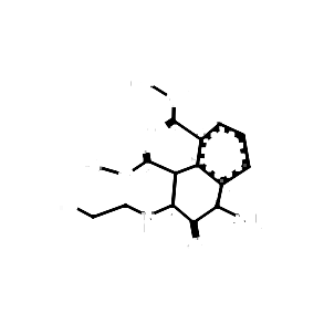 CC(C)CCNC1C(=O)C(N)c2cccc(C(=O)OC(C)(C)C)c2C1C(=O)OC(C)(C)C